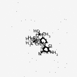 CN(C(=O)O)[C@@H]1CCN(c2cc(C#N)cc(N)c2Cl)C[C@@H]1O[Si](C)(C)C(C)(C)C